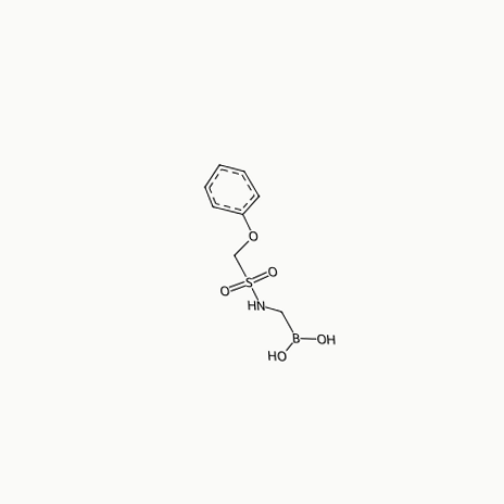 O=S(=O)(COc1ccccc1)NCB(O)O